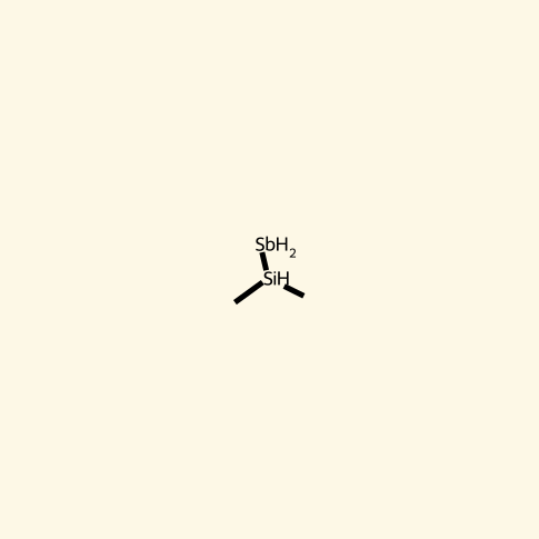 C[SiH](C)[SbH2]